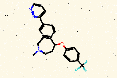 CN1CCC(Oc2ccc(C(F)(F)F)cc2)c2ccc(-c3cccnn3)cc2C1